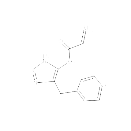 C=CC(=O)Oc1[nH]nnc1Cc1ccccc1